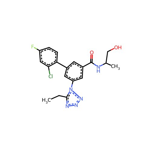 CCc1nnnn1-c1cc(C(=O)NC(C)CO)cc(-c2ccc(F)cc2Cl)c1